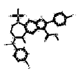 CNC(=O)c1c(-c2ccc(F)cc2)oc2cc3c(cc12)C(C)N([C@H](C)c1ccc(F)cc1)CCN3S(C)(=O)=O